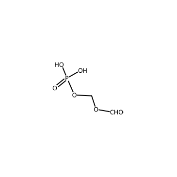 O=[C]OCOP(=O)(O)O